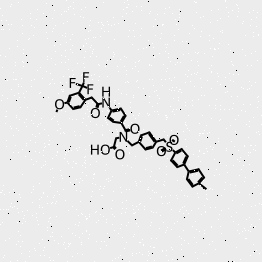 COc1ccc(CC(=O)Nc2ccc(C(=O)N(CC(=O)O)Cc3ccc(CS(=O)(=O)c4ccc(-c5ccc(C)cc5)cc4)cc3)cc2)c(C(F)(F)F)c1